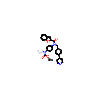 CN(C(=O)OC(C)(C)C)c1ccc(N(Cc2ccc(-c3ccncc3)cc2)C(=O)c2cc3ccccc3o2)cc1